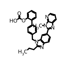 CCCc1nc2ccc(-c3nc4cccnc4n3C)cc2n1Cc1ccc(-c2ccccc2OC(=O)O)cc1